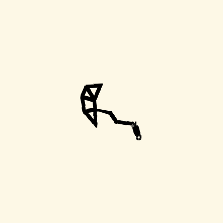 O=NCC[C@@]12CC1C1C3CC312